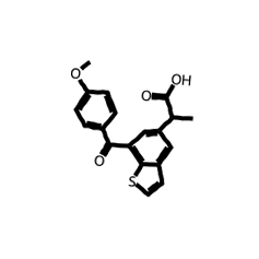 COc1ccc(C(=O)c2cc(C(C)C(=O)O)cc3ccsc23)cc1